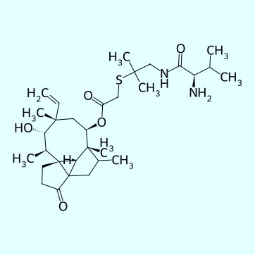 C=C[C@]1(C)C[C@@H](OC(=O)CSC(C)(C)CNC(=O)[C@H](N)C(C)C)[C@]2(C)C(C)CC34C(=O)CC[C@@]3([C@@H](C)[C@@H]1O)[C@@H]42